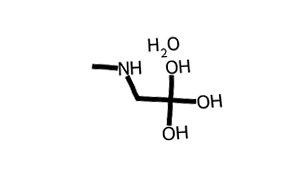 CNCC(O)(O)O.O